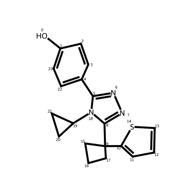 Oc1ccc(-c2nnc(C3(c4cccs4)CCC3)n2C2CC2)cc1